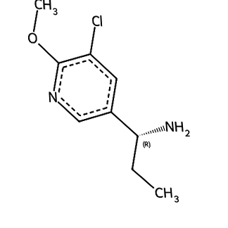 CC[C@@H](N)c1cnc(OC)c(Cl)c1